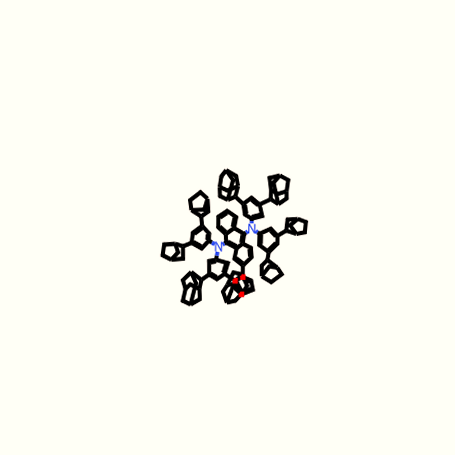 c1ccc(-c2ccc3c(N(c4cc(C5CC6CCC5C6)cc(C5CC6CCC5C6)c4)c4cc(C5C6CC7CC(C6)CC5C7)cc(C5C6CC7CC(C6)CC5C7)c4)c4ccccc4c(N(c4cc(C5CC6CCC5C6)cc(C5CC6CCC5C6)c4)c4cc(C5C6CC7CC(C6)CC5C7)cc(C5C6CC7CC(C6)CC5C7)c4)c3c2)cc1